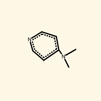 CN(C)c1[c]cncc1